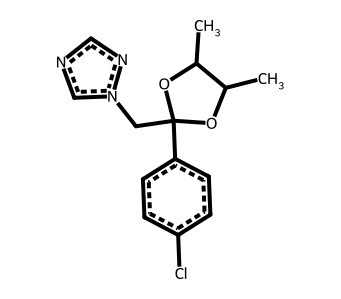 CC1OC(Cn2cncn2)(c2ccc(Cl)cc2)OC1C